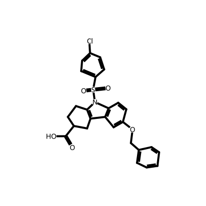 O=C(O)C1CCc2c(c3cc(OCc4ccccc4)ccc3n2S(=O)(=O)c2ccc(Cl)cc2)C1